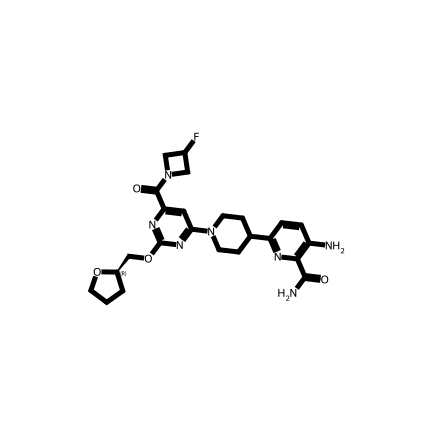 NC(=O)c1nc(C2CCN(c3cc(C(=O)N4CC(F)C4)nc(OC[C@H]4CCCO4)n3)CC2)ccc1N